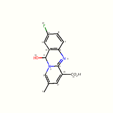 CC1=CN2C(=Nc3ccc(F)cc3C2O)C(C(=O)O)=C1